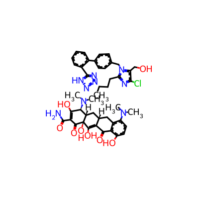 CCCCc1nc(Cl)c(CO)n1Cc1ccc(-c2ccccc2-c2nnn[nH]2)cc1.CN(C)c1ccc(O)c2c1C[C@H]1C[C@H]3[C@H](N(C)C)C(O)=C(C(N)=O)C(=O)[C@@]3(O)C(O)=C1C2=O